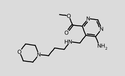 COC(=O)c1ncnc(N)c1CNCCCN1CCOCC1